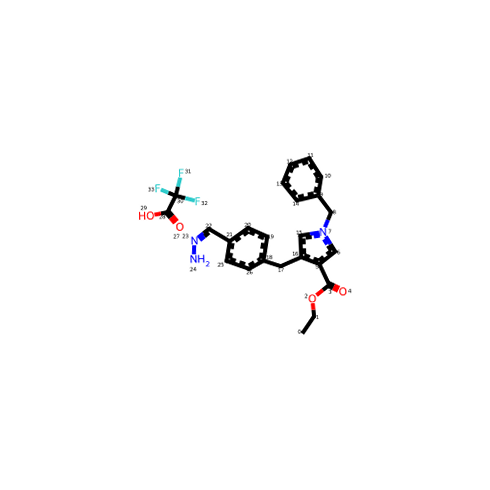 CCOC(=O)c1cn(Cc2ccccc2)cc1Cc1ccc(/C=N\N)cc1.O=C(O)C(F)(F)F